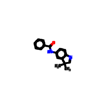 CC1(C)C=Nc2ccc(NC(=O)c3ccccc3)cc21